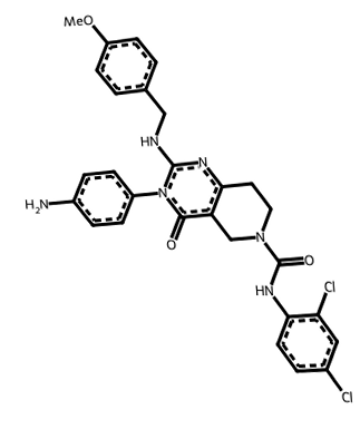 COc1ccc(CNc2nc3c(c(=O)n2-c2ccc(N)cc2)CN(C(=O)Nc2ccc(Cl)cc2Cl)CC3)cc1